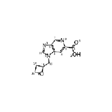 O=C(O)c1cc2c(cn1)ncn2CC1CCO1